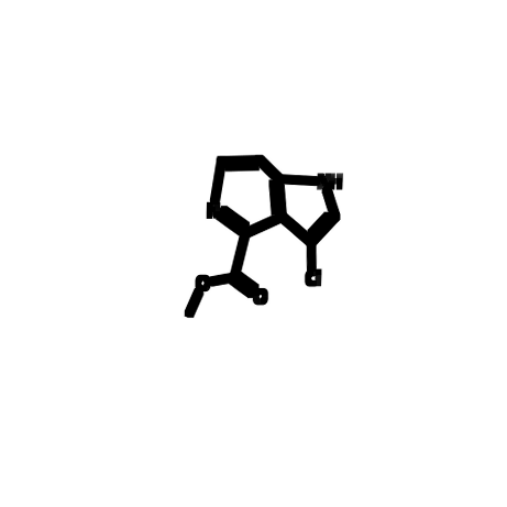 COC(=O)c1nccc2[nH]cc(Cl)c12